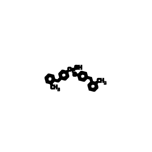 Cc1ccccc1Cc1ccc(OP(O)Oc2ccc(Cc3ccccc3C)cc2)cc1